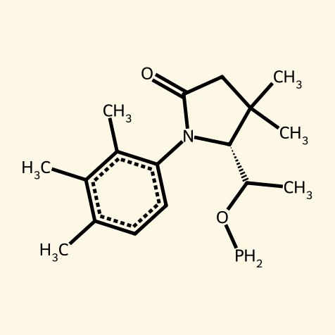 Cc1ccc(N2C(=O)CC(C)(C)[C@@H]2C(C)OP)c(C)c1C